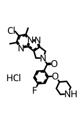 Cc1nc2c3c(nn2c(C)c1Cl)CN(C(=O)c1ccc(F)cc1OC1CCNCC1)C3.Cl